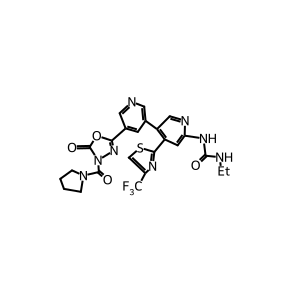 CCNC(=O)Nc1cc(-c2nc(C(F)(F)F)cs2)c(-c2cncc(-c3nn(C(=O)N4CCCC4)c(=O)o3)c2)cn1